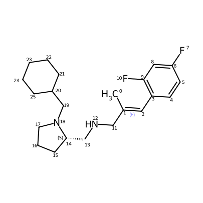 C/C(=C\c1ccc(F)cc1F)CNC[C@@H]1CCCN1CC1CCCCC1